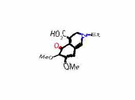 CCN1C=C2C=C(OC)C(OC)C(=O)C2=C(C(=O)O)C1